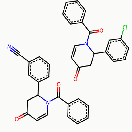 N#Cc1cccc(C2CC(=O)C=CN2C(=O)c2ccccc2)c1.O=C1C=CN(C(=O)c2ccccc2)C(c2cccc(Cl)c2)C1